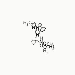 Cc1ccc(N(C(=O)c2ccco2)C2CCN(CCC3(CCNC(=O)OC(C)(C)C)CCCCC3)CC2)nc1